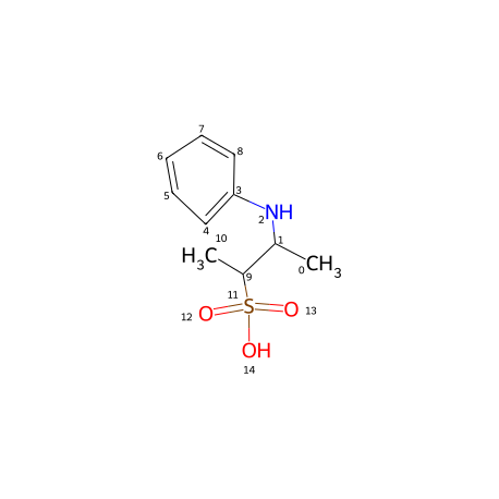 CC(Nc1ccccc1)C(C)S(=O)(=O)O